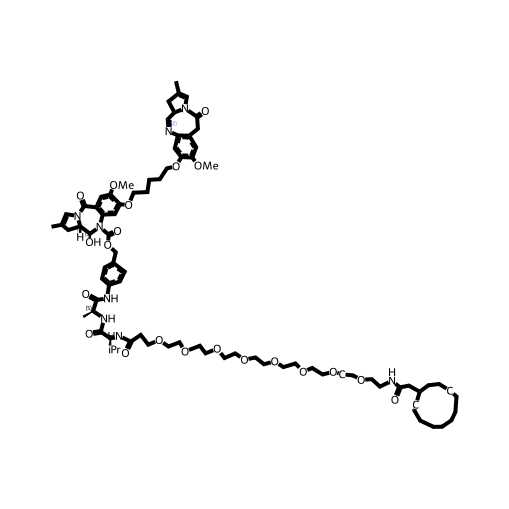 COc1cc2c(cc1OCCCCCOc1cc3c(cc1OC)C(=O)N1C=C(C)C[C@H]1[C@H](O)N3C(=O)OCc1ccc(NC(=O)[C@H](C)NC(=O)[C@@H](NC(=O)CCOCCOCCOCCOCCOCCOCCOCCOCCNC(=O)CC3CCCCCCCCCCC3)C(C)C)cc1)/N=C\C1CC(C)=CN1C(=O)C2